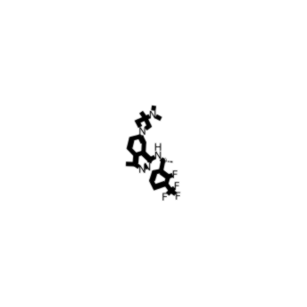 Cc1nnc(N[C@H](C)c2cccc(C(F)(F)F)c2F)c2cc(N3CC(C)(N(C)C)C3)ccc12